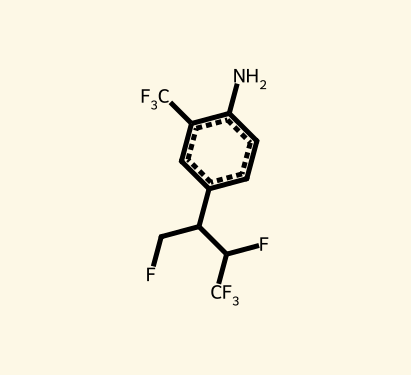 Nc1ccc(C(CF)C(F)C(F)(F)F)cc1C(F)(F)F